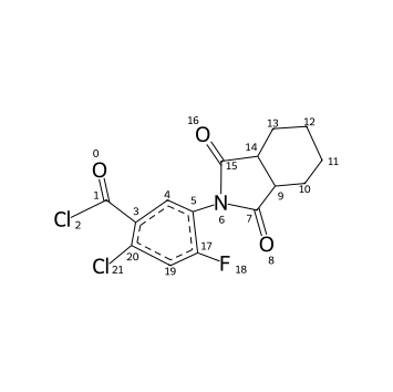 O=C(Cl)c1cc(N2C(=O)C3CCCCC3C2=O)c(F)cc1Cl